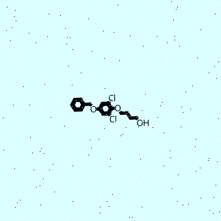 OCCCCOc1c(Cl)cc(OCc2ccccc2)cc1Cl